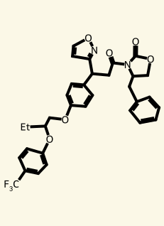 CCC(COc1ccc(C(CC(=O)N2C(=O)OCC2Cc2ccccc2)c2ccon2)cc1)Oc1ccc(C(F)(F)F)cc1